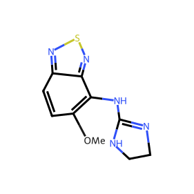 COc1ccc2nsnc2c1NC1=NCCN1